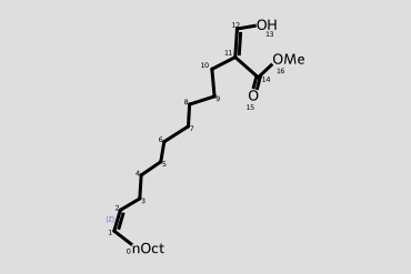 CCCCCCCC/C=C\CCCCCCCCC(=CO)C(=O)OC